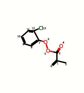 C=C(C)C(=O)OOc1ccccc1Cl